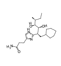 CC[C@H](C)[C@H](O)[C@@H](O)[C@@H](CC1CCCCC1)c1nc(CCC(N)=O)c[nH]1